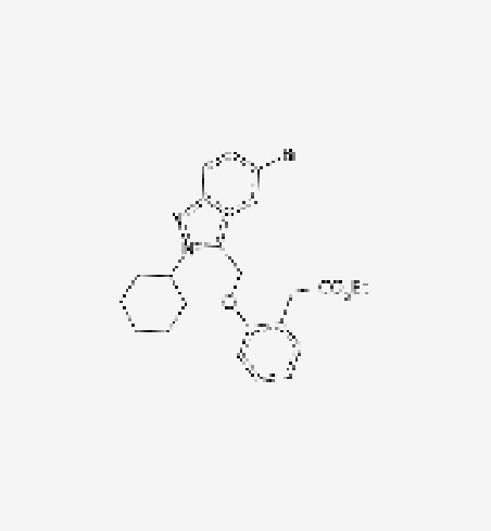 CCOC(=O)Cc1ccccc1OCc1c2cc(Br)ccc2nn1C1CCCCC1